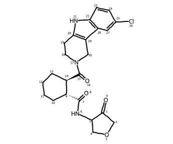 O=C1COCC1NC(=O)[C@@H]1CCCC[C@H]1C(=O)N1CCc2[nH]c3ccc(Cl)cc3c2C1